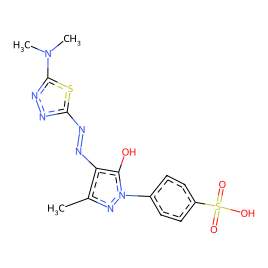 Cc1nn(-c2ccc(S(=O)(=O)O)cc2)c(O)c1N=Nc1nnc(N(C)C)s1